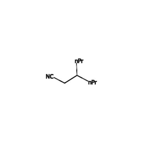 CCCC(CC#N)CCC